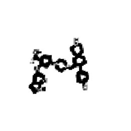 O=C(O)c1ccc(N2CCN(CC3=C(c4ccc(Cl)cc4)CCC4(CCNCC4)C3)CC2)cc1Oc1cnc2[nH]ccc2c1